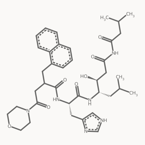 CC(C)CC(=O)NC(=O)C[C@H](O)[C@H](CC(C)C)NC(=O)[C@H](Cc1c[nH]cn1)NC(=O)C(CC(=O)N1CCOCC1)Cc1cccc2ccccc12